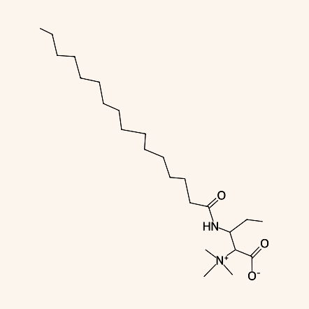 CCCCCCCCCCCCCCCC(=O)NC(CC)C(C(=O)[O-])[N+](C)(C)C